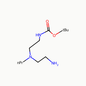 CCCN(CCN)CCNC(=O)OC(C)(C)C